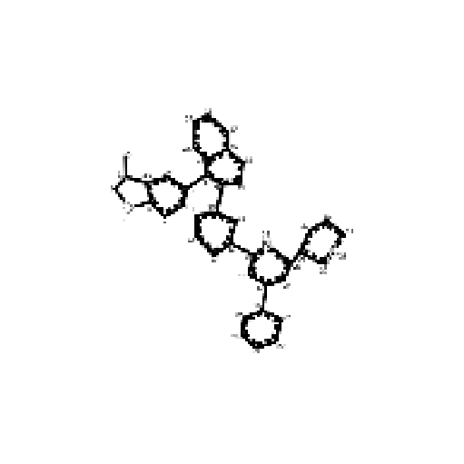 CC1COc2ccc(-c3c(-c4cccc(-c5cc(-c6ccccc6)cc(-c6ccccc6)n5)c4)ccc4ccccc34)cc21